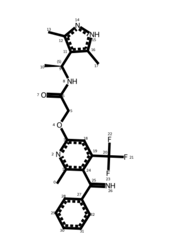 Cc1nc(OCC(=O)N[C@@H](C)c2c(C)n[nH]c2C)cc(C(F)(F)F)c1C(=N)c1ccccc1